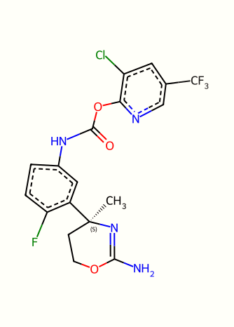 C[C@@]1(c2cc(NC(=O)Oc3ncc(C(F)(F)F)cc3Cl)ccc2F)CCOC(N)=N1